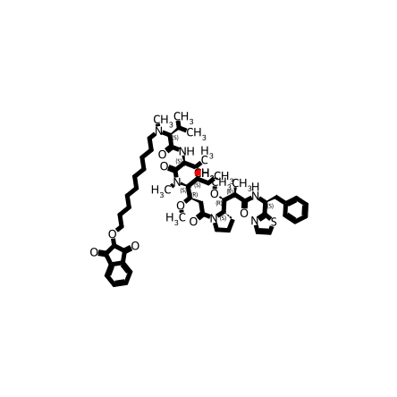 CC[C@H](C)[C@@H]([C@@H](CC(=O)N1CCC[C@H]1[C@H](OC)[C@@H](C)C(=O)N[C@@H](Cc1ccccc1)c1nccs1)OC)N(C)C(=O)[C@@H](NC(=O)[C@H](C(C)C)N(C)CCCCCCCCCCOC1C(=O)c2ccccc2C1=O)C(C)C